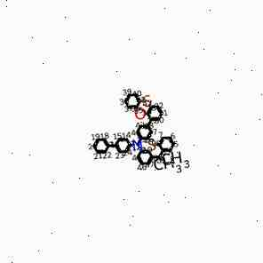 CC1(C)c2ccccc2Sc2c(N(c3ccc(-c4ccccc4)cc3)c3ccc(-c4cccc5c4Oc4ccccc4S5)cc3)cccc21